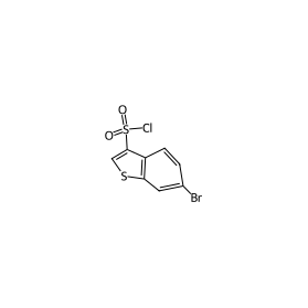 O=S(=O)(Cl)c1csc2cc(Br)ccc12